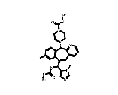 Cc1ccc2c(c1)C(C(NC(=O)OC(C)C)c1cncn1C)=Cc1cccnc1[C@H]2N1CCN(C(=O)OC(C)C)CC1